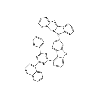 c1ccc(-c2nc(-c3cccc4ccccc34)nc(-c3cccc4oc5cc(-n6c7ccccc7c7cc8ccccc8cc76)ccc5c34)n2)cc1